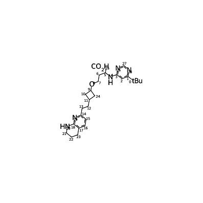 CC(C)(C)c1cc(NC(CCOC2CC(CCc3ccc4c(n3)NCCC4)C2)C(=O)O)ncn1